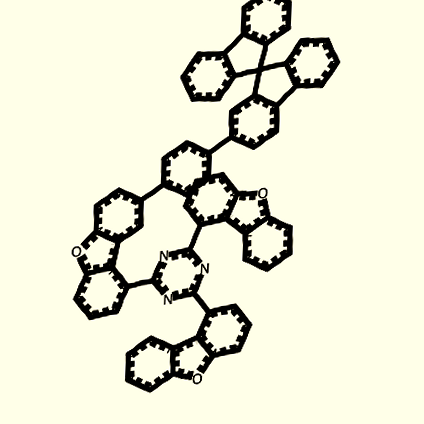 c1ccc2c(c1)-c1ccccc1C21c2ccccc2-c2ccc(-c3ccc(-c4ccc5oc6cccc(-c7nc(-c8cccc9oc%10ccccc%10c89)nc(-c8cccc9oc%10ccccc%10c89)n7)c6c5c4)cc3)cc21